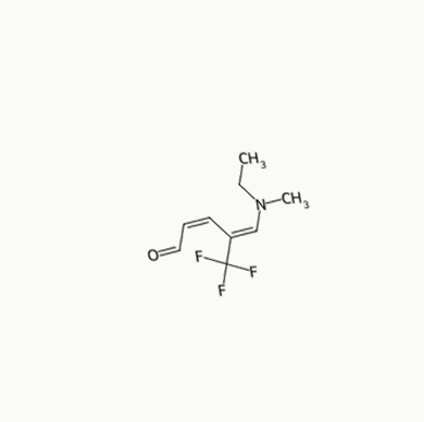 CCN(C)/C=C(\C=C/C=O)C(F)(F)F